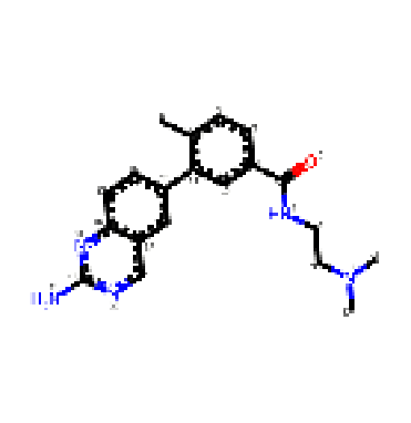 Cc1ccc(C(=O)NCCN(C)C)cc1-c1ccc2nc(N)ncc2c1